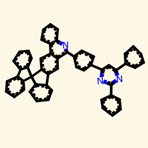 c1ccc(-c2cc(-c3ccc(-c4nc5ccccc5c5cc6c(cc45)-c4ccccc4C64c5ccccc5-c5ccccc54)cc3)nc(-c3ccccc3)n2)cc1